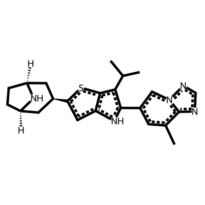 Cc1cc(-c2[nH]c3cc([C@H]4C[C@H]5CC[C@@H](C4)N5)sc3c2C(C)C)cn2ncnc12